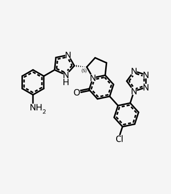 Nc1cccc(-c2cnc([C@@H]3CCc4cc(-c5cc(Cl)ccc5-n5cnnn5)cc(=O)n43)[nH]2)c1